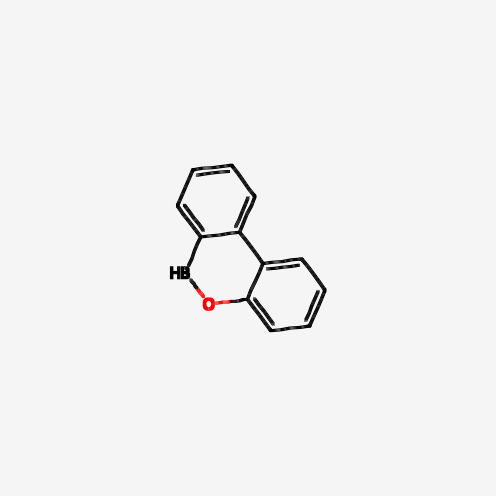 B1Oc2ccccc2-c2ccccc21